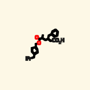 CC(C)Cc1ccc(COC(=O)C(C)CC(CC(=O)O)Cc2ccccc2)cc1